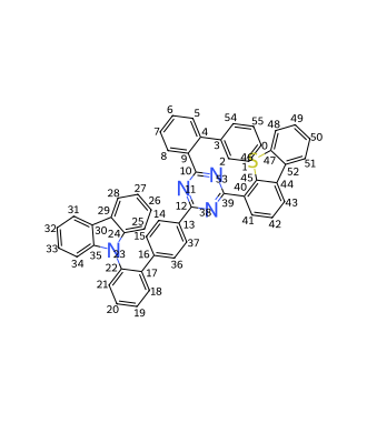 c1ccc(-c2ccccc2-c2nc(-c3ccc(-c4ccccc4-n4c5ccccc5c5ccccc54)cc3)nc(-c3cccc4c3sc3ccccc34)n2)cc1